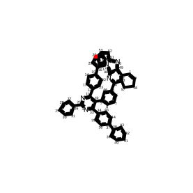 C1=Cc2c(c(-c3cccc(-c4c(-c5ccc(-c6ccccc6)cc5)nc(-c5ccccc5)nc4-c4ccc(-c5ccccc5)cc4)c3)nc3c2nc2ccccn23)CC1